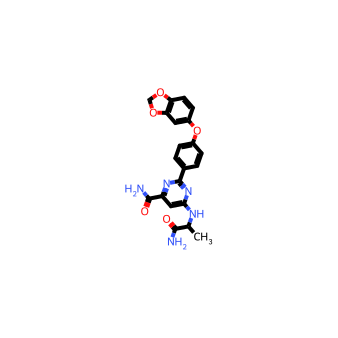 CC(Nc1cc(C(N)=O)nc(-c2ccc(Oc3ccc4c(c3)OCO4)cc2)n1)C(N)=O